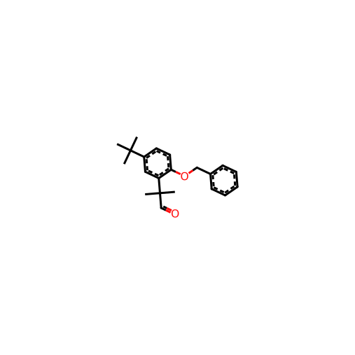 CC(C)(C)c1ccc(OCc2ccccc2)c(C(C)(C)C=O)c1